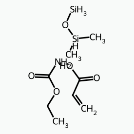 C=CC(=O)O.CCOC(N)=O.C[SiH](C)O[SiH3]